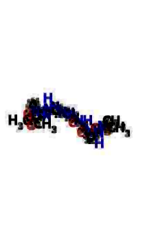 CC(=O)c1c(C)c2cnc(Nc3ccc(N4CCN(CC(=O)NCCC(=O)Nc5ccccc5C(=O)Nc5nc(C)c(C)s5)CC4)cn3)nc2n(C2CCCC2)c1=O